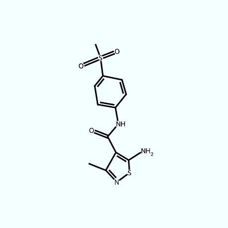 Cc1nsc(N)c1C(=O)Nc1ccc(S(C)(=O)=O)cc1